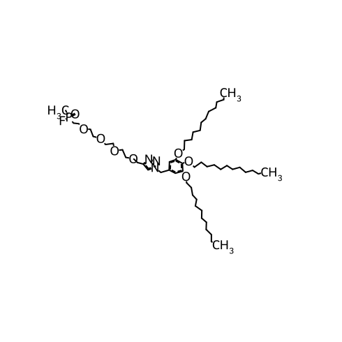 CCCCCCCCCCCCOc1cc(Cn2cc(COCCOCCOCCOCCP(C)(=O)F)nn2)cc(OCCCCCCCCCCCC)c1OCCCCCCCCCCCC